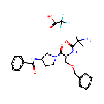 CC(C)(N)C(=O)NC(COCc1ccccc1)C(=O)N1CC[C@@H](NC(=O)c2ccccc2)C1.O=C(O)C(F)(F)F